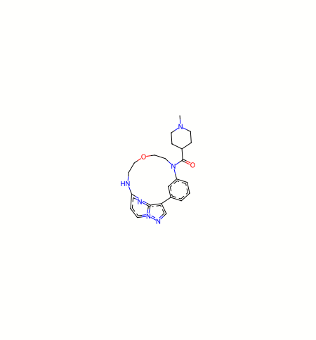 CN1CCC(C(=O)N2CCOCCNc3ccn4ncc(c4n3)-c3cccc2c3)CC1